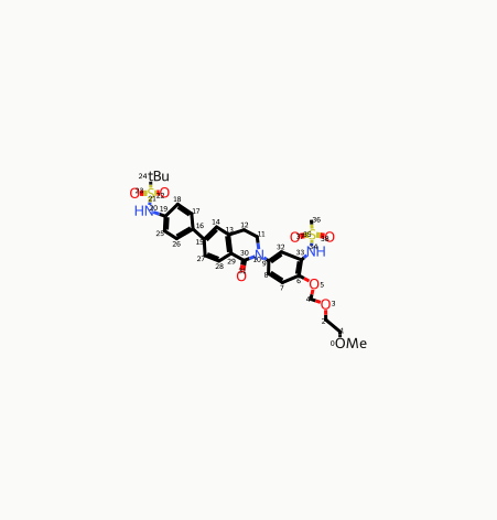 COCCOCOc1ccc(N2CCc3cc(-c4ccc(NS(=O)(=O)C(C)(C)C)cc4)ccc3C2=O)cc1NS(C)(=O)=O